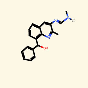 CCN(C)/C=N/c1cc2cccc(C(O)c3ccccc3)c2nc1C